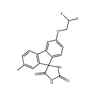 Cc1ccc2c(c1)C1(NC(=O)NC1=O)c1ccc(OCC(F)F)cc1-2